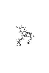 CC(C)(C)OC=O.Cc1ccc2[nH]nc(C#C[Si](C)(C)C)c2c1